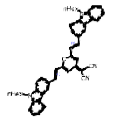 CCCCCCn1c2ccccc2c2cc(/C=C/C3=CC(=C(C#N)C#N)C=C(/C=C/c4ccc5c(c4)c4ccccc4n5CCCCCC)O3)ccc21